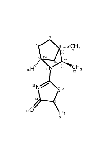 CC(C)C1SC(N2[C@H]3CC[C@](C)(C3)[C@H]2C)=NC1=O